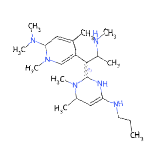 CCCNC1=CC(C)N(C)/C(=C(\C2=CN(C)C(N(C)C)C=C2C)C(C)NC)N1